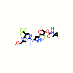 COCc1cn2c(Nc3cc([C@H]4OC[C@@H](OC(=O)NC5(C)CC5)[C@H]4F)[nH]n3)ncc(C(F)(F)F)c2n1